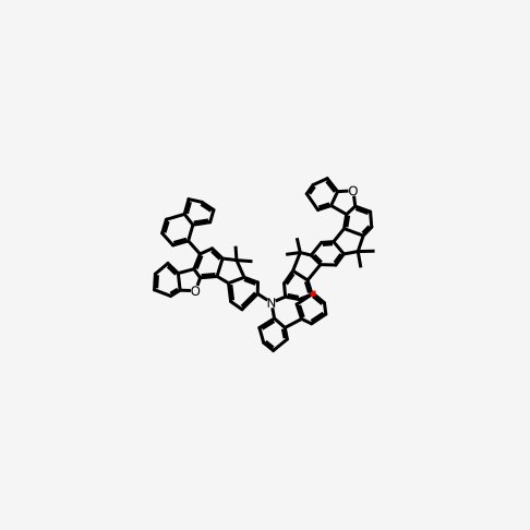 CC1(C)c2cc(N(c3ccc4c(c3)C(C)(C)c3cc(-c5cccc6ccccc56)c5c(oc6ccccc65)c3-4)c3ccccc3-c3ccccc3)ccc2-c2cc3c(cc21)-c1c(ccc2oc4ccccc4c12)C3(C)C